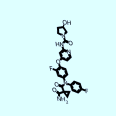 NC(=O)C1(C(=O)N(c2ccc(F)cc2)c2ccc(Oc3ccnc(NC(=O)N4CC[C@@H](O)C4)c3)c(F)c2)CC1